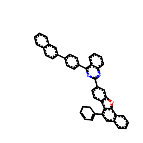 C1=CCCC(c2cc3ccccc3c3oc4cc(-c5nc(-c6ccc(-c7ccc8ccccc8c7)cc6)c6ccccc6n5)ccc4c23)=C1